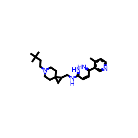 Cc1ccncc1C(=N)/C=C\C(=N)NCC1CC12CCN(CCC(C)(C)C)CC2